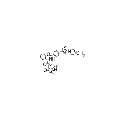 CN1CCN(c2nc(-c3ccc(C(=O)N[C@H](C(=O)N4C[C@H](F)[C@H]5OCC(=O)[C@H]54)C4CCCCC4)cc3)cs2)CC1